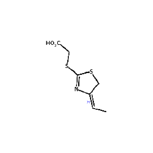 C/C=C1\CSC(SCC(=O)O)=N1